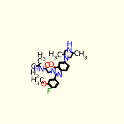 COc1cc(-c2nc3ccc(N4CC(C)NC[C@@H]4C)cc3c(=O)n2CC(=O)NC(C)C)ccc1F